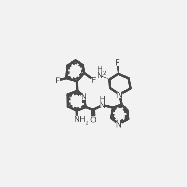 Nc1ccc(-c2c(F)cccc2F)nc1C(=O)Nc1cnccc1N1CC[C@H](F)[C@@H](N)C1